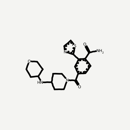 NC(=O)c1ccc(C(=O)N2CCC(NC3CCOCC3)CC2)cc1-c1nccs1